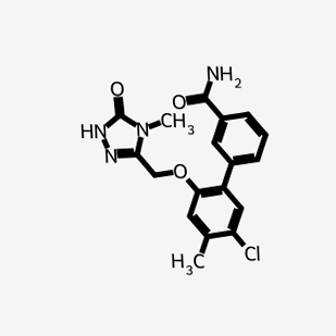 Cc1cc(OCc2n[nH]c(=O)n2C)c(-c2cccc(C(N)=O)c2)cc1Cl